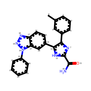 Cc1cccc(-c2nc(C(N)=O)[nH]c2-c2ccc3nnn(-c4ccccc4)c3c2)c1